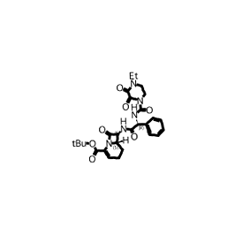 CCN1CCN(C(=O)N[C@@H](C(=O)N[C@@H]2C(=O)N3C(C(=O)OC(C)(C)C)=CCC[C@@H]23)c2ccccc2)C(=O)C1=O